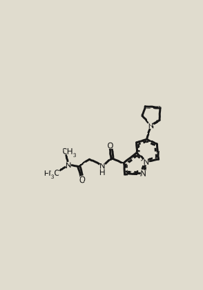 CN(C)C(=O)CNC(=O)c1cnn2ccc(N3CCCC3)cc12